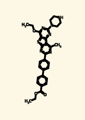 CCOC(=O)c1ccc(-c2ccc(-c3nc(C)c4c(n3)sc3c(OCC)nc(N5CCNCC5)nc34)cc2)cc1